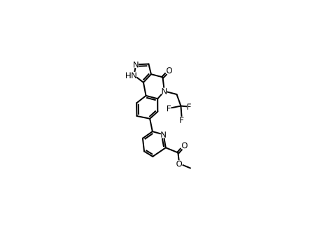 COC(=O)c1cccc(-c2ccc3c4[nH]ncc4c(=O)n(CC(F)(F)F)c3c2)n1